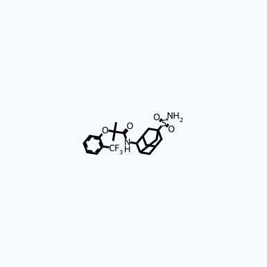 CC(C)(Oc1ccccc1C(F)(F)F)C(=O)NC1C2CC3CC1CC(S(N)(=O)=O)(C3)C2